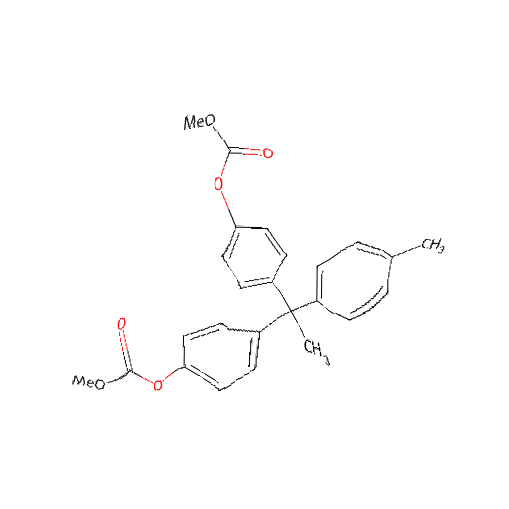 COC(=O)Oc1ccc(C(C)(c2ccc(C)cc2)c2ccc(OC(=O)OC)cc2)cc1